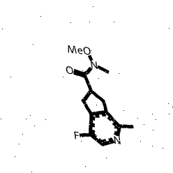 CON(C)C(=O)C1Cc2c(F)cnc(C)c2C1